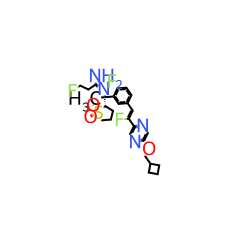 CC(/N=C(/N)CCF)(c1cc(/C=C(\F)c2cnc(OCC3CCC3)cn2)ccc1F)[C@@H]1CCCS1(=O)=O